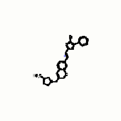 CCc1sc(/C=C/c2ccc3c(c2)OCC(CN2CCC(C(=O)O)C2)=C3)cc1-c1ccccc1